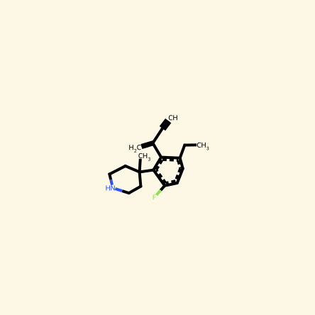 C#CC(=C)c1c(CC)ccc(F)c1C1(C)CCNCC1